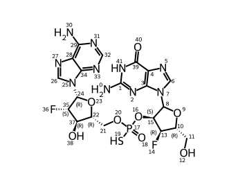 Nc1nc2c(ncn2C2O[C@H](CO)[C@@H](F)[C@H]2OP(=O)(S)OC[C@H]2O[C@@H](n3cnc4c(N)ncnc43)[C@@H](F)[C@@H]2O)c(=O)[nH]1